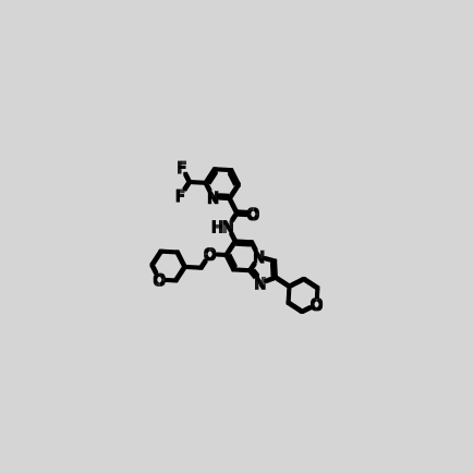 O=C(Nc1cn2cc(C3CCOCC3)nc2cc1OCC1CCCOC1)c1cccc(C(F)F)n1